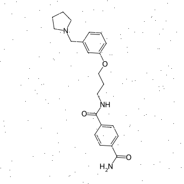 NC(=O)c1ccc(C(=O)NCCCOc2cccc(CN3CCCC3)c2)cc1